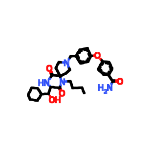 CCCCN1C(=O)[C@@H]([C@H](O)C2CCCCC2)NC(=O)C12CCN(Cc1ccc(Oc3ccc(C(N)=O)cc3)cc1)CC2